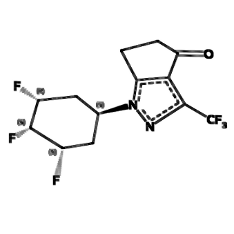 O=C1CCc2c1c(C(F)(F)F)nn2[C@@H]1C[C@@H](F)[C@@H](F)[C@@H](F)C1